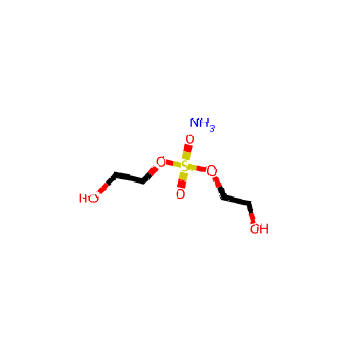 N.O=S(=O)(OCCO)OCCO